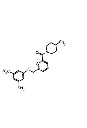 Cc1cc(C)cc(SCc2cccc(C(=O)N3CCC(C)CC3)n2)c1